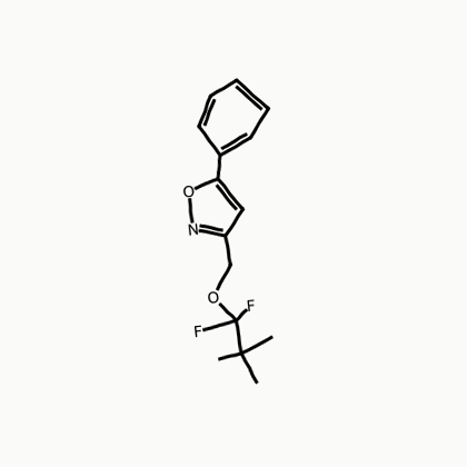 CC(C)(C)C(F)(F)OCc1cc(-c2ccccc2)on1